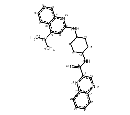 CN(C)c1cc(NC2CCC(NC(=O)c3cnc4ccccc4n3)CC2)nc2ccccc12